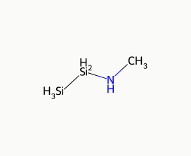 CN[SiH2][SiH3]